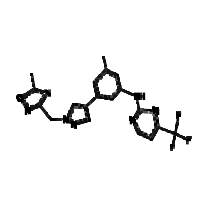 Cc1cc(Nc2nccc(C(F)(F)F)n2)cc(-c2cnn(Cc3noc(C)n3)c2)c1